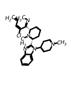 C=C/C=C(Cl)\C(=N/C)[C@@H]1CCC[C@H](c2nc3ccccc3n2C2CCN(C)CC2)N1C